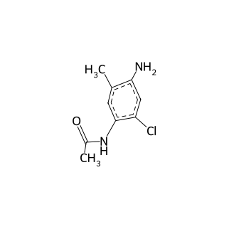 CC(=O)Nc1cc(C)c(N)cc1Cl